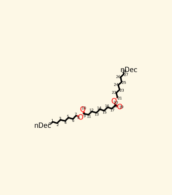 CCCCCCCCCCCCCCCCCOC(=O)CCCCCCCC(=O)OCCCCCCCCCCCCCCCCC